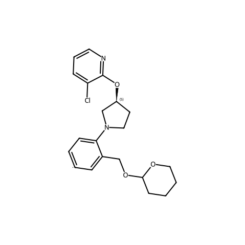 Clc1cccnc1O[C@H]1CCN(c2cc[c]cc2COC2CCCCO2)C1